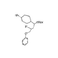 CCCCCCC(CC(F)COc1ccccc1)C1CCC(CCC)CC1